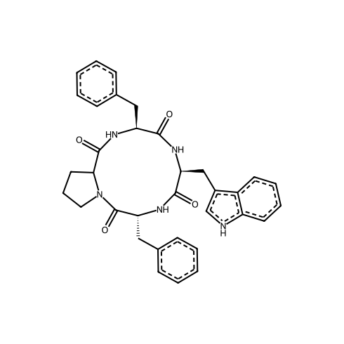 O=C1N[C@@H](Cc2ccccc2)C(=O)N[C@@H](Cc2c[nH]c3ccccc23)C(=O)N[C@H](Cc2ccccc2)C(=O)N2CCCC12